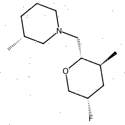 C[C@@H]1CCCN(C[C@H]2OC[C@@H](F)C[C@@H]2C)C1